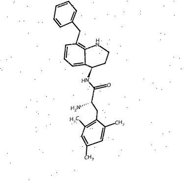 Cc1cc(C)c(C[C@H](N)C(=O)N[C@@H]2CCNc3c(Cc4ccccc4)cccc32)c(C)c1